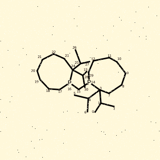 CC(C)C1(C(C)C)CCCCCCCP1CP1CCCCCCCC1(C(C)C)C(C)C